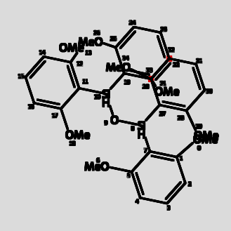 COc1cccc(OC)c1[SiH](O[SiH](c1c(OC)cccc1OC)c1c(OC)cccc1OC)c1c(OC)cccc1OC